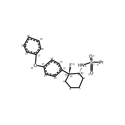 CC(C)S(=O)(=O)N[C@@H]1CCCC[C@]1(F)c1ccc(Oc2ccccc2)cc1